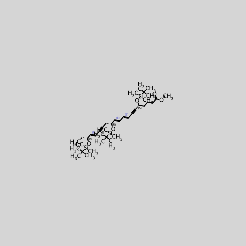 CC[C@H](/C=C/C#CC[C@H](/C=C/C=C/C#C[C@H](CCCC(=O)OC)O[Si](C)(C)C(C)(C)C)O[Si](C)(C)C(C)(C)C)O[Si](C)(C)C(C)(C)C